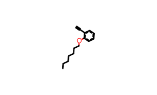 C#Cc1ccccc1OCCCCCCC